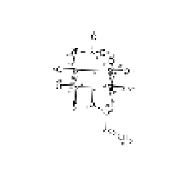 C=COOC(C(S(=O)(=O)F)(S(=O)(=O)F)S(=O)(=O)F)(S(=O)(=O)F)S(=O)(=O)F